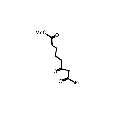 COC(=O)CCCCC(=O)CC(=O)C(C)C